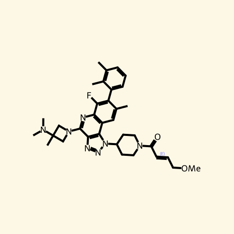 COC/C=C/C(=O)N1CCC(n2nnc3c(N4CC(C)(N(C)C)C4)nc4c(F)c(-c5cccc(C)c5C)c(C)cc4c32)CC1